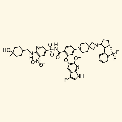 COc1nc2[nH]cc(F)c2cc1Oc1cc(N2CCC3(CC2)CN(C2CCCC2c2ccccc2C(F)(F)F)C3)ccc1C(=O)NS(=O)(=O)c1cnc(NCC2CCC(C)(O)CC2)c([N+](=O)[O-])c1